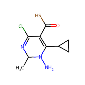 CC1N=C(Cl)C(C(=O)S)=C(C2CC2)N1N